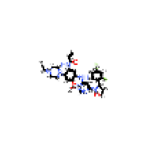 C=CC(=O)Nc1cc(Nc2cc(N3OCCC3c3ccc(F)cc3F)ncn2)c(OC)cc1N1CCN(CC)CC1